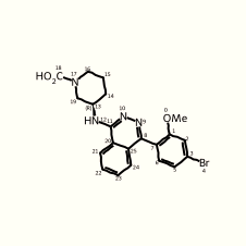 COc1cc(Br)ccc1-c1nnc(N[C@@H]2CCCN(C(=O)O)C2)c2ccccc12